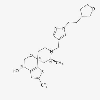 C[C@H]1C[C@@]2(CCN1Cc1cnn(CCC3CCOC3)c1)OC[C@@H](O)c1cc(C(F)(F)F)sc12